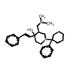 CN(C)CC1CN(C2(c3ccccc3)CCCCC2)CCC1(O)C=Cc1ccccc1